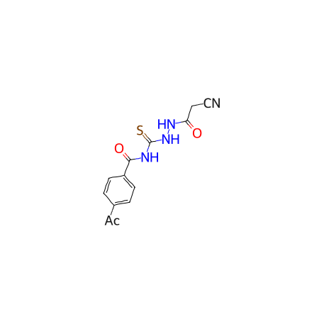 CC(=O)c1ccc(C(=O)NC(=S)NNC(=O)CC#N)cc1